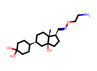 C[C@]12CC[C@H](C3CCC(O)(O)CC3)C[C@@]1(O)CC[C@@H]2C=NOCCN